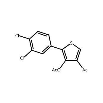 CC(=O)Oc1c(C(C)=O)csc1-c1ccc(Cl)c(Cl)c1